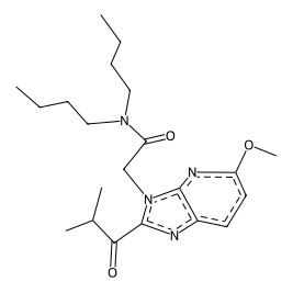 CCCCN(CCCC)C(=O)Cn1c(C(=O)C(C)C)nc2ccc(OC)nc21